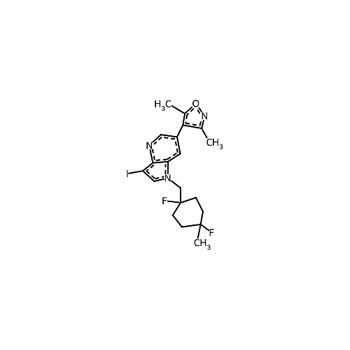 Cc1noc(C)c1-c1cnc2c(I)cn(CC3(F)CCC(C)(F)CC3)c2c1